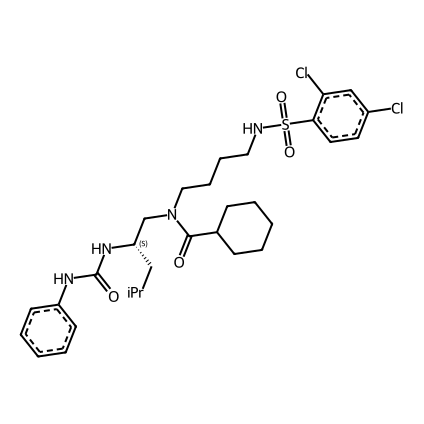 CC(C)C[C@@H](CN(CCCCNS(=O)(=O)c1ccc(Cl)cc1Cl)C(=O)C1CCCCC1)NC(=O)Nc1ccccc1